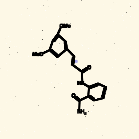 COc1cc(/C=C/C(=O)Nc2ccccc2C(N)=O)cc(OC)c1